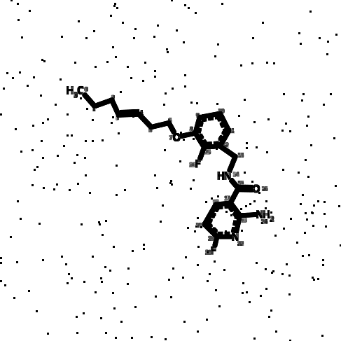 CCC/C=C/CCOc1cccc(CNC(=O)c2ccc(F)nc2N)c1F